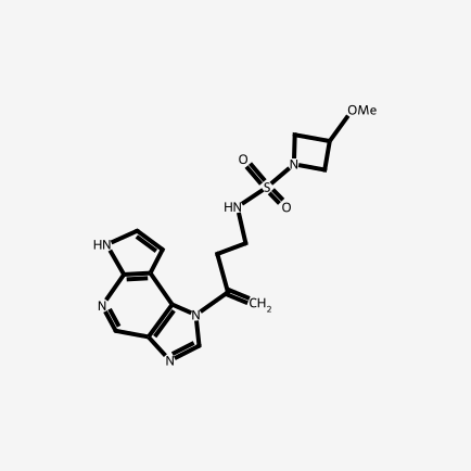 C=C(CCNS(=O)(=O)N1CC(OC)C1)n1cnc2cnc3[nH]ccc3c21